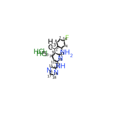 CC(c1ccc(F)cc1)c1ccc(Nc2cnccn2)nc1N.Cl.Cl